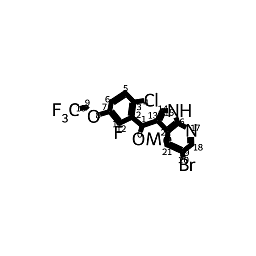 COC(c1c(Cl)ccc(OCC(F)(F)F)c1F)c1c[nH]c2ncc(Br)cc12